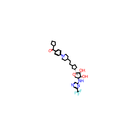 O=C(c1ccc(N2CCC(CCC3CCC([C@H]4OC[C@H](Nc5cncc(C(F)(F)F)n5)[C@@H](O)[C@H]4O)C3)CC2)cc1)C1CCCC1